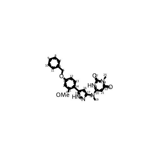 COc1cc(OCc2ccccc2)ccc1-c1cc(N(C)c2cc(=O)n(C)c(=O)[nH]2)n[nH]1